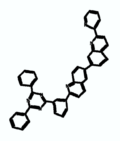 c1ccc(-c2nc(-c3ccccc3)nc(-c3cccc(-c4ccc5cc(-c6ccc7ccc(-c8ccccn8)nc7c6)ccc5n4)c3)n2)cc1